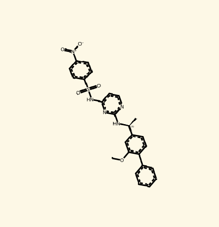 COc1cc([C@H](C)Nc2nccc(NS(=O)(=O)c3ccc([N+](=O)[O-])cc3)n2)ccc1-c1ccccc1